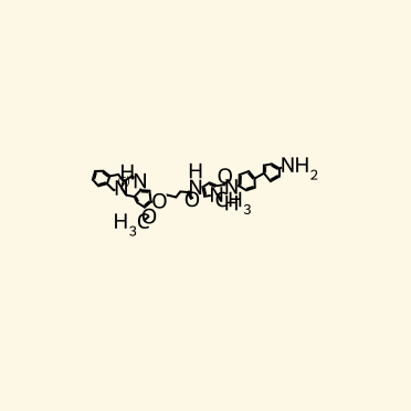 COc1cc2c(cc1OCCCC(=O)Nc1cc(C(=O)Nc3ccc(-c4ccc(N)cc4)cc3)n(C)c1)N=C[C@@H]1Cc3ccccc3CN1C2